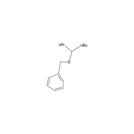 CCCCC(CCC)OCc1ccccc1